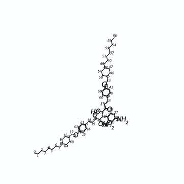 CCCCCCCCC1CCC(COc2ccc(/C=C/C(=O)C(O)C(c3ccc(N)cc3N)C(O)C(=O)/C=C/c3ccc(OCC4CCC(CCCCCCCC)CC4)cc3)cc2)CC1